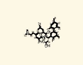 Cc1cc(C)c(-c2cc(C)c(F)c([C@H](CC(O)O)NC(=O)C(CC(C)C)n3cc(CCN(C)C)cc(F)c3=O)c2)c(C)c1